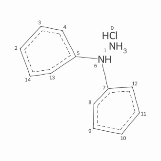 Cl.N.c1ccc(Nc2ccccc2)cc1